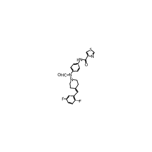 O=CN(c1ccc(NC(=O)c2cscn2)cc1)N1CCC(=Cc2cc(F)ccc2F)CC1